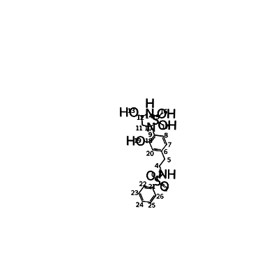 O=S(=O)(NCCc1ccc(N2CC(O)NS2(O)O)c(O)c1)c1ccccc1